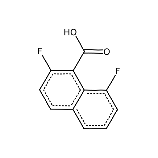 O=C(O)c1c(F)ccc2cccc(F)c12